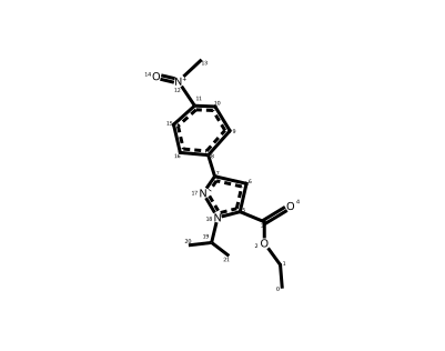 CCOC(=O)c1cc(-c2ccc([N+](C)=O)cc2)nn1C(C)C